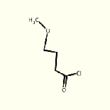 COCCCC(=O)Cl